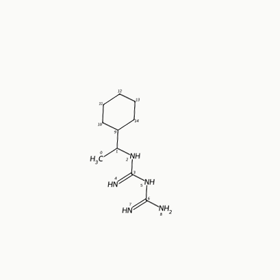 CC(NC(=N)NC(=N)N)C1CCCCC1